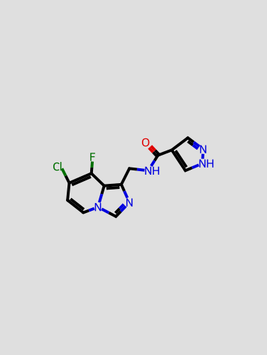 O=C(NCc1ncn2ccc(Cl)c(F)c12)c1cn[nH]c1